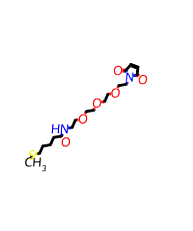 CSCCCCC(=O)NCCOCCOCCOCCN1C(=O)C=CC1=O